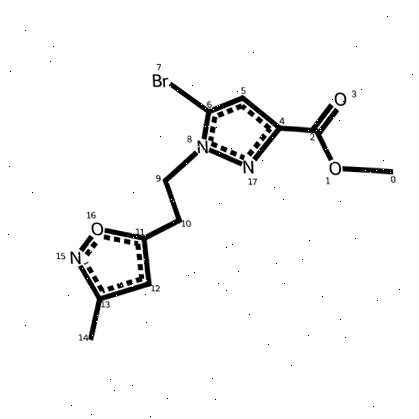 COC(=O)c1cc(Br)n(CCc2cc(C)no2)n1